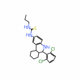 CCCNC(=S)Nc1ccc2c(c1)C1CCCCC1C(c1c(Cl)cccc1Cl)N2